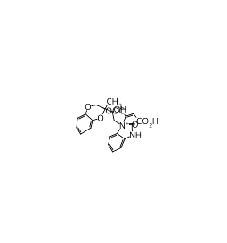 CC1(C(O)C[N+]2(/C(=C\C(=O)O)C(=O)[O-])C(=O)Nc3ccccc32)COc2ccccc2O1